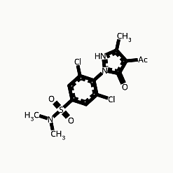 CC(=O)c1c(C)[nH]n(-c2c(Cl)cc(S(=O)(=O)N(C)C)cc2Cl)c1=O